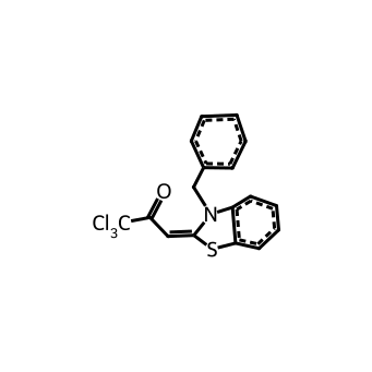 O=C(/C=C1/Sc2ccccc2N1Cc1ccccc1)C(Cl)(Cl)Cl